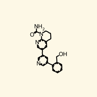 NC(=O)N1CCCc2cc(-c3cncc(-c4ccccc4CO)c3)cnc21